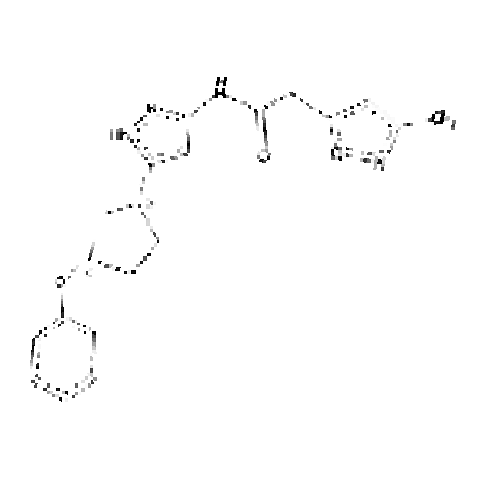 Cc1cc(CC(=O)Nc2cc([C@@H]3CC[C@H](Oc4ccccc4)C3)[nH]n2)on1